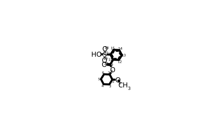 COC1CCCCC1OC(=O)c1ccccc1S(=O)(=O)O